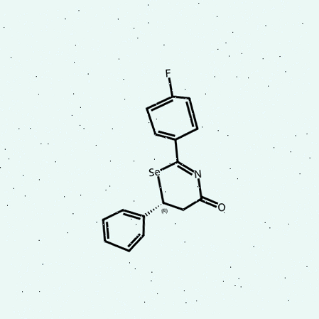 O=C1C[C@H](c2ccccc2)[Se]C(c2ccc(F)cc2)=N1